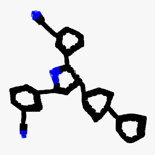 N#Cc1cccc(-c2cc(-c3ccc(-c4ccccc4)cc3)cc(-c3cccc(C#N)c3)n2)c1